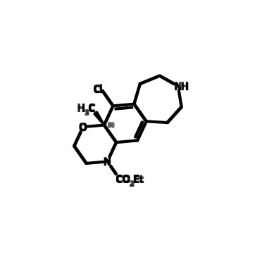 CCOC(=O)N1CCO[C@]2(C)C(Cl)=C3CCNCCC3=CC12